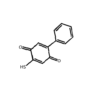 O=C1C=C(c2ccccc2)C(=O)C=C1S